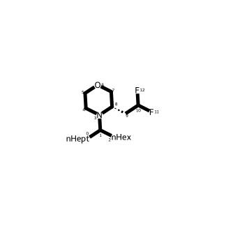 CCCCCCCC(CCCCCC)N1CCOC[C@@H]1CC(F)F